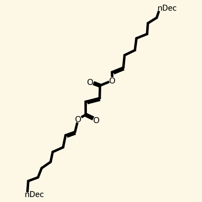 CCCCCCCCCCCCCCCCC=COC(=O)/C=C/C(=O)OC=CCCCCCCCCCCCCCCCC